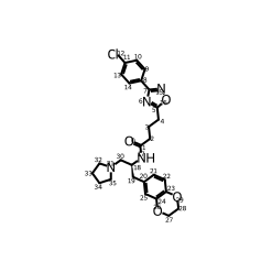 O=C(CCCc1nc(-c2ccc(Cl)cc2)no1)N[C@@H](Cc1ccc2c(c1)OCCO2)CN1CCCC1